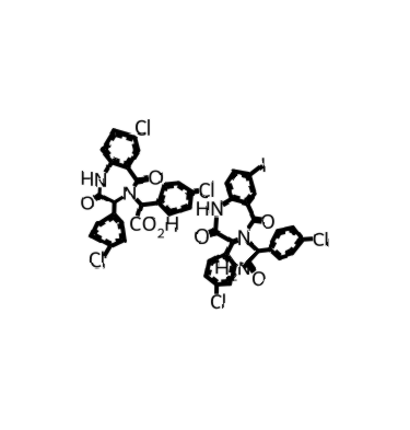 NC(=O)C(c1ccc(Cl)cc1)N1C(=O)c2cc(I)ccc2NC(=O)C1c1ccc(Cl)cc1.O=C(O)C(c1ccc(Cl)cc1)N1C(=O)c2cc(Cl)ccc2NC(=O)C1c1ccc(Cl)cc1